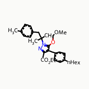 CCCCCCc1ccc(-c2c(C(=O)OCC)nn(C(C)(C)Cc3ccc(C)cc3)c2OCOC)cc1